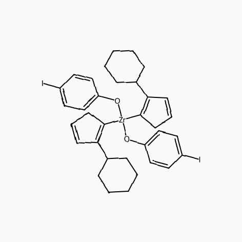 Ic1ccc([O][Zr]([O]c2ccc(I)cc2)([C]2=C(C3CCCCC3)C=CC2)[C]2=C(C3CCCCC3)C=CC2)cc1